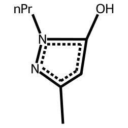 CCCn1nc(C)cc1O